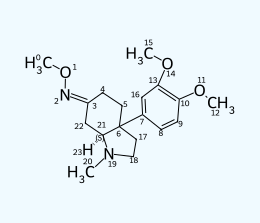 CON=C1CCC2(c3ccc(OC)c(OC)c3)CCN(C)[C@H]2C1